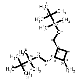 CC(C)(C)[Si](C)(C)OC[C@H]1C[C@@H](N)[C@@H]1CO[Si](C)(C)C(C)(C)C